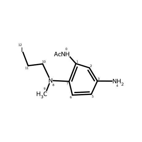 CC(=O)Nc1cc(N)ccc1N(C)CCI